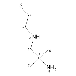 CCCNCC(C)(C)N